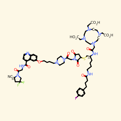 N#C[C@H]1CC(F)(F)CN1C(=O)CNC(=O)c1ccnc2ccc(OCCCCN3CCN(C(=O)CN4C(=O)CC(SC[C@H](CCCCNC(=O)CCCc5ccc(I)cc5)NC(=O)CN5CCN(CC(=O)O)CCN(CC(=O)O)CCN(CC(=O)O)CC5)C4=O)CC3)cc12